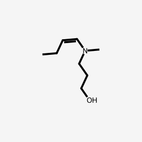 CC/C=C\N(C)CCCO